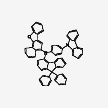 c1ccc(C2(c3ccccc3)c3ccccc3-c3c(N(c4ccc(-n5c6ccccc6c6ccccc65)cc4)c4cc5c6ccccc6oc5c5ccccc45)cccc32)cc1